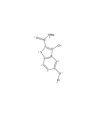 CCOc1ccc2sc(C(=O)OC)c(Cl)c2c1